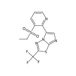 CCS(=O)(=O)c1cccnc1-c1cnc2sc(C(F)(F)F)nn12